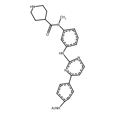 CC(=O)Nc1ccc(-c2ccnc(Nc3cccc(N(C)C(=O)C4CCNCC4)c3)n2)cc1